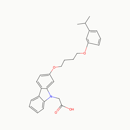 CC(C)c1cccc(OCCCCOc2ccc3c4ccccc4n(CC(=O)O)c3c2)c1